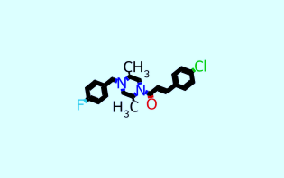 C[C@@H]1CN(C(=O)C=Cc2ccc(Cl)cc2)[C@@H](C)CN1Cc1ccc(F)cc1